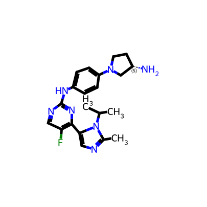 Cc1ncc(-c2nc(Nc3ccc(N4CC[C@H](N)C4)cc3)ncc2F)n1C(C)C